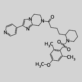 COc1cc(C)c(S(=O)(=O)N2CCCCC2CCCC(=O)N2CCn3cc(-c4ccncc4)nc3C2)c(C)c1